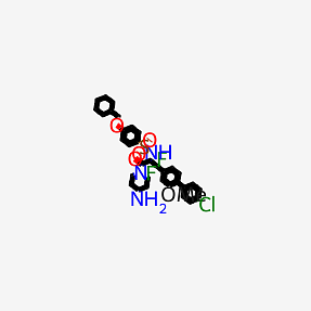 COc1cc(C(F)(F)[C@H](NS(=O)(=O)c2ccc(OCC3CCCCC3)cc2)C(=O)N2CCC(N)CC2)ccc1-c1ccc(Cl)cc1